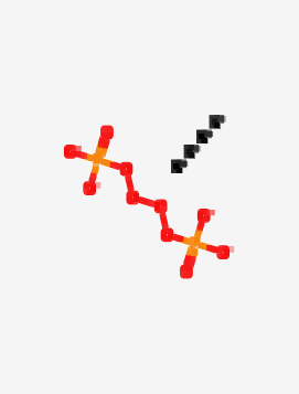 O=P([O-])([O-])OOOOP(=O)([O-])[O-].[K+].[K+].[K+].[K+]